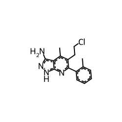 Cc1ccccc1-c1nc2[nH]nc(N)c2c(C)c1CCCl